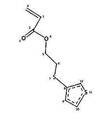 C=CC(=O)OCCSc1ccsc1